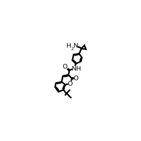 CC(C)(C)c1cccc2cc(C(=O)Nc3ccc(C4(N)CC4)cc3)c(=O)oc12